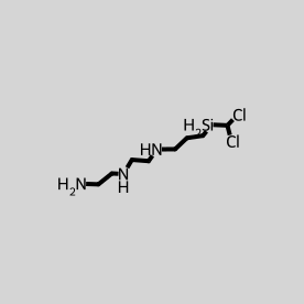 NCCNCCNCCC[SiH2]C(Cl)Cl